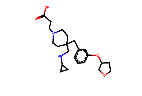 O=C(O)CCN1CCC(CNC2CC2)(Cc2cccc(OC3CCOC3)c2)CC1